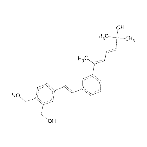 C/C(=C\C=C\C(C)(C)O)c1cccc(C=Cc2ccc(CO)c(CO)c2)c1